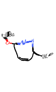 COc1ccc(OC(C)(C)C)nn1